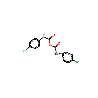 O=C(Bc1ccc(Br)cc1)OC(=O)Bc1ccc(Br)cc1